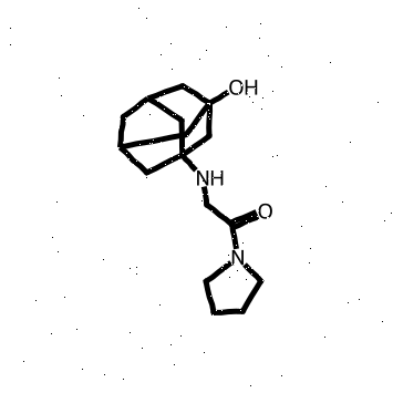 O=C(CNC12CC3CC(CC(O)(C3)C1)C2)N1CCCC1